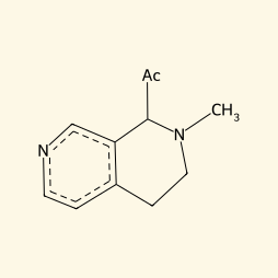 CC(=O)C1c2cnccc2CCN1C